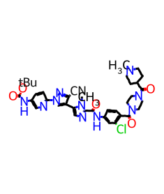 CN1CCC(C(=O)N2CCN(C(=O)c3ccc(NC(=O)c4ncc(-c5cn(-c6ccc(NC(=O)OC(C)(C)C)cn6)nc5C#N)n4C)cc3Cl)CC2)CC1